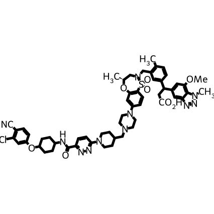 COc1cc(C(CC(=O)O)c2ccc(C)c(CN3C[C@@H](C)Oc4cc(N5CCN(CC6CCN(c7ccc(C(=O)NC8CCC(Oc9ccc(C#N)c(Cl)c9)CC8)nn7)CC6)CC5)ccc4S3(=O)=O)c2)cc2nnn(C)c12